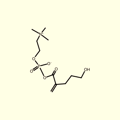 C=C(CCCO)C(=O)OP(=O)([O-])OCC[N+](C)(C)C